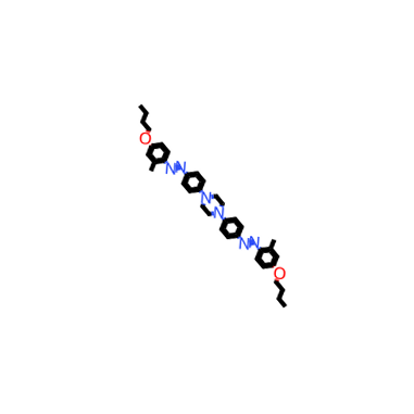 CCCCOc1ccc(/N=N/c2ccc(N3CCN(c4ccc(/N=N/c5ccc(OCCCC)cc5C)cc4)CC3)cc2)c(C)c1